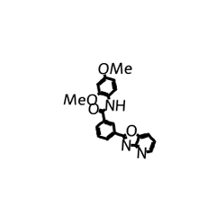 COc1ccc(NC(=O)c2cccc(-c3nc4ncccc4o3)c2)c(OC)c1